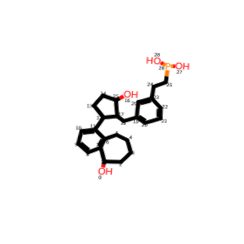 OC1CCCCc2c1cccc2C1CCC(O)C1Cc1cccc(CCP(O)O)c1